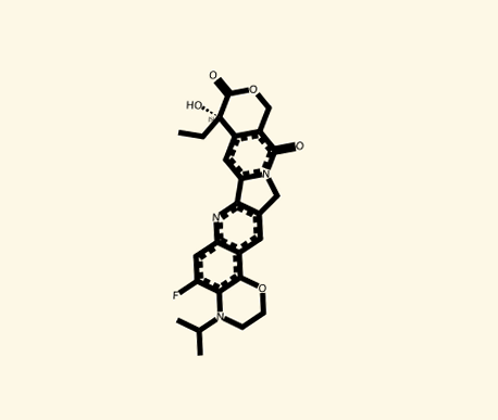 CC[C@@]1(O)C(=O)OCc2c1cc1n(c2=O)Cc2cc3c4c(c(F)cc3nc2-1)N(C(C)C)CCO4